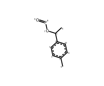 Cc1ccc(C(C)OP=O)cc1